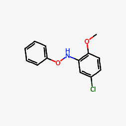 COc1ccc(Cl)cc1NOc1ccccc1